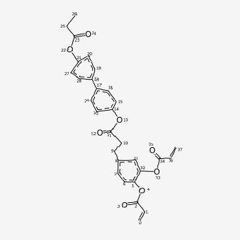 C=CC(=O)Oc1ccc(CCC(=O)Oc2ccc(-c3ccc(OC(=O)CC)cc3)cc2)cc1OC(=O)C=C